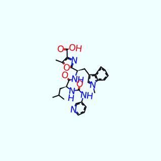 Cc1oc([C@@H](Cc2cn(C)c3ccccc23)NC(=O)[C@H](CC(C)C)NC(=O)Nc2cccnc2)nc1C(=O)O